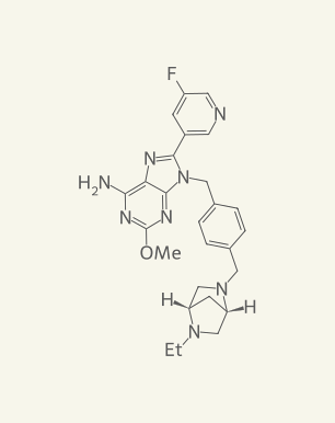 CCN1C[C@@H]2C[C@H]1CN2Cc1ccc(Cn2c(-c3cncc(F)c3)nc3c(N)nc(OC)nc32)cc1